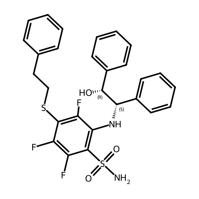 NS(=O)(=O)c1c(F)c(F)c(SCCc2ccccc2)c(F)c1N[C@@H](c1ccccc1)[C@H](O)c1ccccc1